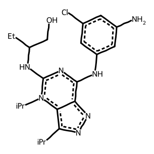 CCC(CO)Nc1nc(Nc2cc(N)cc(Cl)c2)c2nnc(C(C)C)c-2n1C(C)C